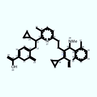 C=C/C(=C(/CCc1ccc(C)c(C(CC2=CC=C(C(=C)O)CC2=C)C2CC2)n1)C(NC)c1c(C)cccc1C)C1CC1